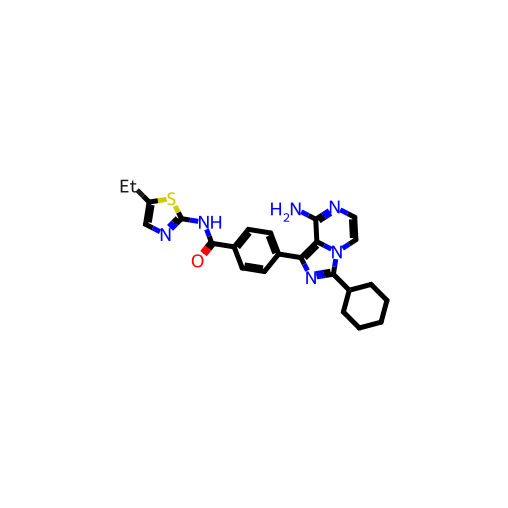 CCc1cnc(NC(=O)c2ccc(-c3nc(C4CCCCC4)n4ccnc(N)c34)cc2)s1